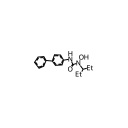 CCC(CC)N(O)C(=O)Nc1ccc(-c2ccccc2)cc1